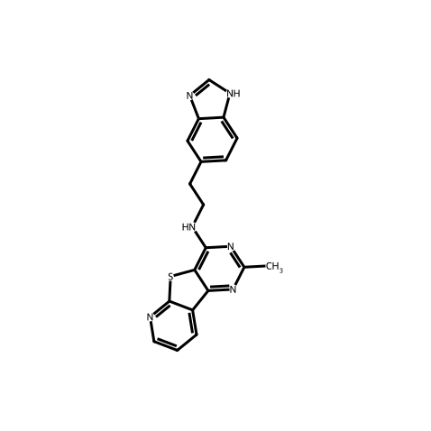 Cc1nc(NCCc2ccc3[nH]cnc3c2)c2sc3ncccc3c2n1